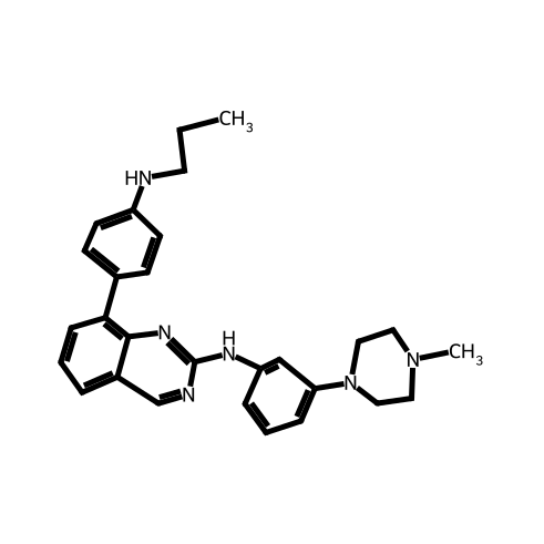 CCCNc1ccc(-c2cccc3cnc(Nc4cccc(N5CCN(C)CC5)c4)nc23)cc1